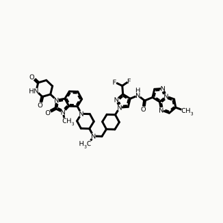 Cc1cnc2c(C(=O)Nc3cn(C4CCC(CN(C)C5CCN(c6cccc7c6n(C)c(=O)n7C6CCC(=O)NC6=O)CC5)CC4)nc3C(F)F)cnn2c1